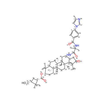 Cc1cn(-c2ccc(C(=O)NC(C)(C)C(=O)N[C@@]34CC[C@]5(C)[C@H](CC[C@@H]6[C@@]7(C)CC[C@H](OC(=O)[C@H]8C[C@@H](C(=O)O)C8(C)C)C(C)(C)C7CC[C@]65C)C3=C(C(C)C)C(=O)C4)cc2)cn1